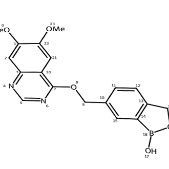 COc1cc2ncnc(OCc3ccc4c(c3)B(O)OC4)c2cc1OC